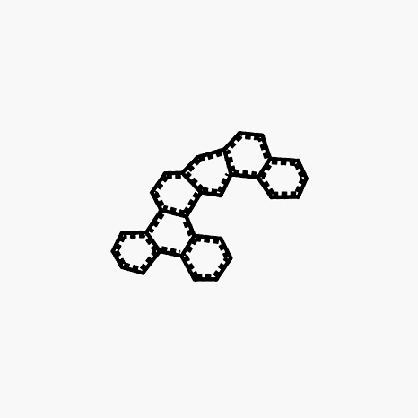 c1ccc2c(c1)ccc1cc3ccc4c5ccccc5c5ccccc5c4c3cc12